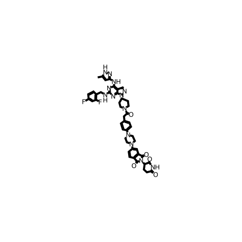 Cc1cc(Nc2nc(NCc3ccc(F)cc3F)nc3c2cnn3C2CCN(C(=O)Cc3ccc(N4CCN(c5ccc6c(c5)C(=O)N(C5CCC(=O)NC5=O)C6=O)CC4)cc3)CC2)n[nH]1